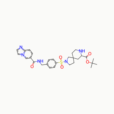 CC(C)(C)OC(=O)C1CC2(CCN1)CCN(S(=O)(=O)c1ccc(CNC(=O)c3ccc4nccn4c3)cc1)C2